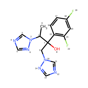 CC(n1cncn1)C(O)([CH]n1cncn1)c1ccc(F)cc1F